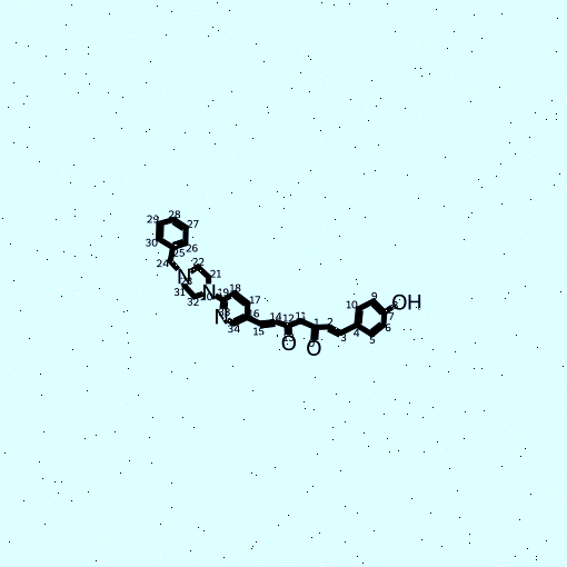 O=C(C=Cc1ccc(O)cc1)CC(=O)C=Cc1ccc(N2CCN(Cc3ccccc3)CC2)nc1